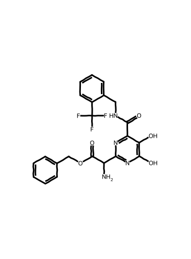 NC(C(=O)OCc1ccccc1)c1nc(O)c(O)c(C(=O)NCc2ccccc2C(F)(F)F)n1